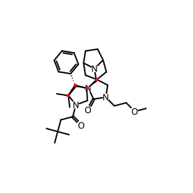 COCCN1CC2(CC3CCC(C2)N3C[C@H]2CN(C(=O)CC(C)(C)C)C[C@@H]2c2ccccc2)N(CC(C)C)C1=O